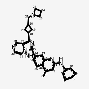 Cc1cc(Nc2ccccc2)nc2cc(C3=NC(C4CC(CN5CCC5)C4)=C4C=NC=C[N+]34N)ccc12